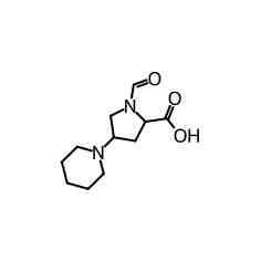 O=CN1CC(N2CCCCC2)CC1C(=O)O